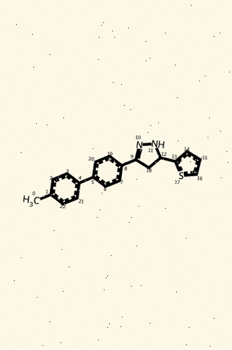 Cc1ccc(-c2ccc(C3=NNC(c4cccs4)C3)cc2)cc1